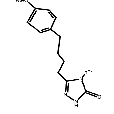 CCCn1c(CCCCc2ccc(OC)cc2)n[nH]c1=O